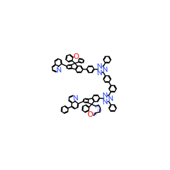 C1=C\C=C\C2(c3ccccc3O/C=C/1)c1cc(-c3nc(-c4ccccc4)nc(-c4cccc(-c5ccc(-c6nc(-c7ccccc7)nc(-c7ccc(-c8ccc9c(c8)C8(c%10ccccc%10Oc%10ccccc%108)c8cc(-c%10cccc%11cccnc%10%11)ccc8-9)cc7)n6)cc5)c4)n3)ccc1-c1ccc(-c3ccc(-c4ccccc4)c4cccnc34)cc12